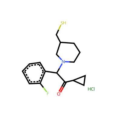 Cl.O=C(C1CC1)C(c1ccccc1F)N1CCCC(CS)C1